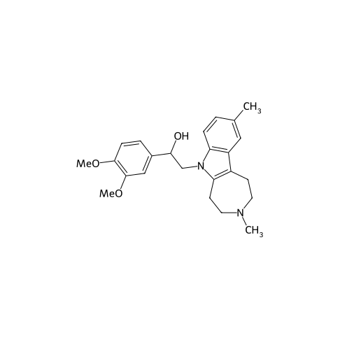 COc1ccc(C(O)Cn2c3c(c4cc(C)ccc42)CCN(C)CC3)cc1OC